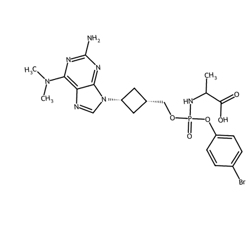 CC(NP(=O)(OC[C@H]1C[C@@H](n2cnc3c(N(C)C)nc(N)nc32)C1)Oc1ccc(Br)cc1)C(=O)O